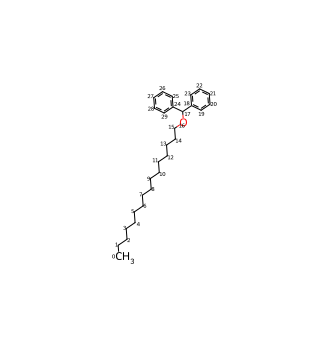 CCCCCCCCCCCCCCCCOC(c1ccccc1)c1ccccc1